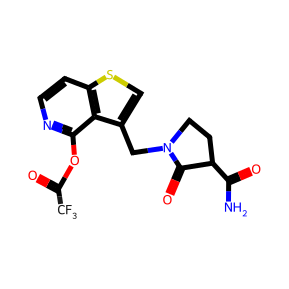 NC(=O)C1CCN(Cc2csc3ccnc(OC(=O)C(F)(F)F)c23)C1=O